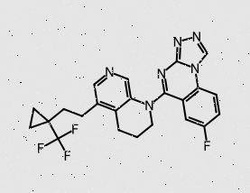 Fc1ccc2c(c1)c(N1CCCc3c(CCC4(C(F)(F)F)CC4)cncc31)nc1nncn12